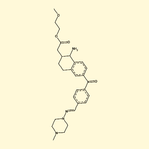 COCCOC(=O)CC1CCc2cc(C(=O)c3ccc(C=NN4CCN(C)CC4)cc3)ccc2C1N